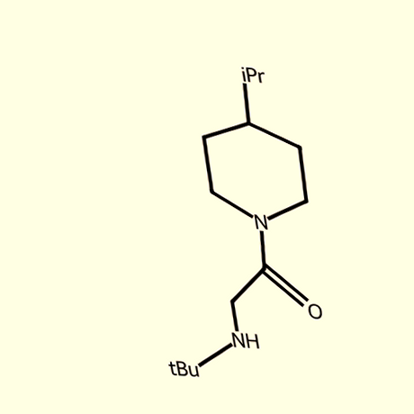 CC(C)C1CCN(C(=O)CNC(C)(C)C)CC1